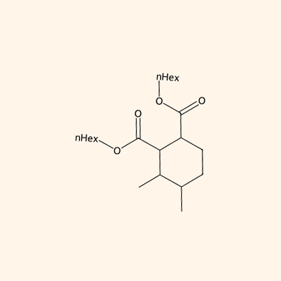 CCCCCCOC(=O)C1CCC(C)C(C)C1C(=O)OCCCCCC